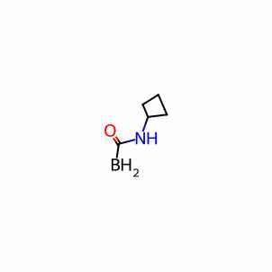 BC(=O)NC1CCC1